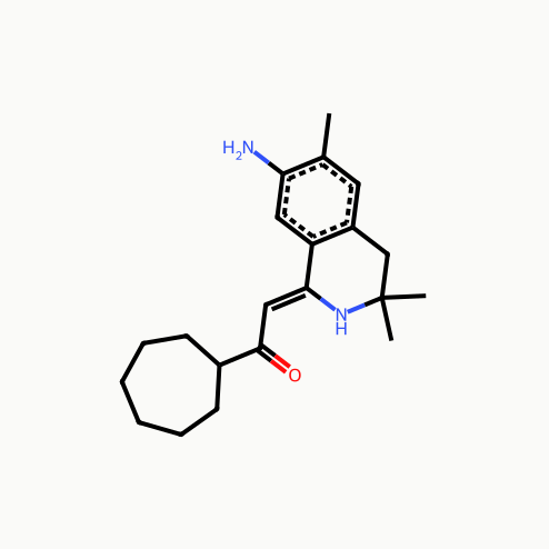 Cc1cc2c(cc1N)/C(=C/C(=O)C1CCCCCC1)NC(C)(C)C2